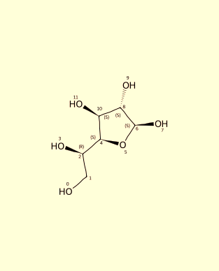 OC[C@@H](O)[C@@H]1O[C@H](O)[C@@H](O)[C@@H]1O